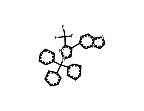 FC(F)(F)c1nn(C(c2ccccc2)(c2ccccc2)c2ccccc2)cc1-c1ccc2nccn2c1